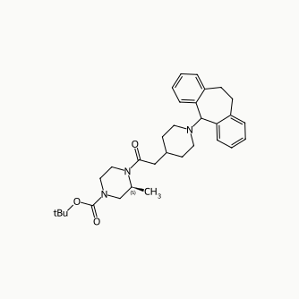 C[C@H]1CN(C(=O)OC(C)(C)C)CCN1C(=O)CC1CCN(C2c3ccccc3CCc3ccccc32)CC1